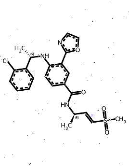 C[C@H](/C=C/S(C)(=O)=O)NC(=O)c1ccc(N[C@@H](C)c2ccccc2Cl)c(-c2ncco2)c1